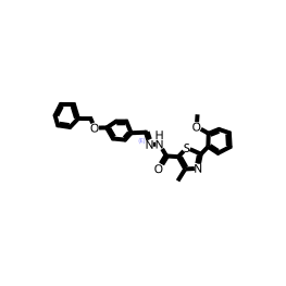 COc1ccccc1-c1nc(C)c(C(=O)N/N=C/c2ccc(OCc3ccccc3)cc2)s1